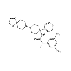 C[C@H](C(=O)NC1(c2ccccc2)CCC(N2CCC3(CC2)OCCO3)CC1)c1cc(C(F)(F)F)cc(C(F)(F)F)c1